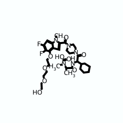 CC(C(=O)NC(C(=O)N1CCN(C(=O)c2cc3c(OCCOCCOCCO)c(F)c(F)cc3n2C)CC1)C1CCCCC1)N(C)C(=O)O